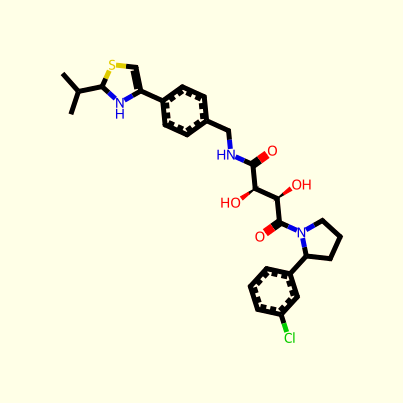 CC(C)C1NC(c2ccc(CNC(=O)[C@H](O)[C@@H](O)C(=O)N3CCCC3c3cccc(Cl)c3)cc2)=CS1